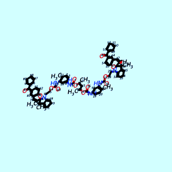 Cc1ccc(NC(=O)OC(C)CC(C)OC(=O)Nc2ccc(C)c(NC(=O)OCCN3c4ccccc4C(C)(C)C34C=Cc3cc(C(=O)c5ccccc5)ccc3O4)c2)cc1NC(=O)OCCN1c2ccccc2C(C)(C)C12C=Cc1cc(C(=O)c3ccccc3)ccc1O2